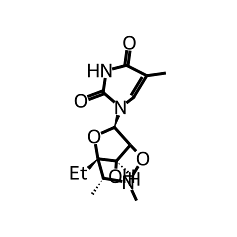 CC[C@]12O[C@@H](n3cc(C)c(=O)[nH]c3=O)C(ON(C)[C@@H]1C)[C@H]2O